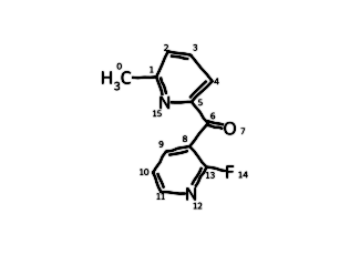 Cc1cccc(C(=O)c2cccnc2F)n1